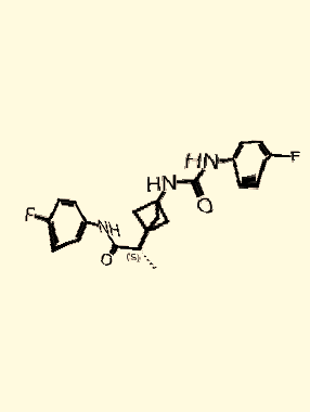 C[C@H](C(=O)Nc1ccc(F)cc1)C12CC(NC(=O)Nc3ccc(F)cc3)(C1)C2